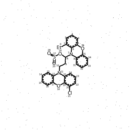 CCc1cccc2c1N(C(CCN1c3ccccc3Oc3c(Cl)cccc31)O[SH](=O)=O)c1ccccc1O2